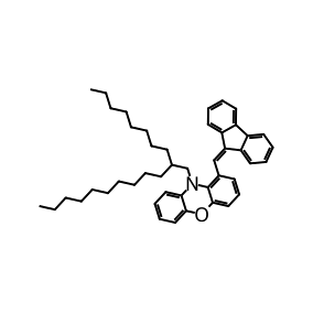 CCCCCCCCCCC(CCCCCCCC)CN1c2ccccc2Oc2cccc(C=C3c4ccccc4-c4ccccc43)c21